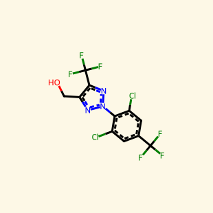 OCc1nn(-c2c(Cl)cc(C(F)(F)F)cc2Cl)nc1C(F)(F)F